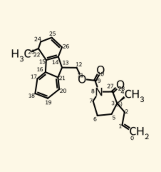 C=CC[C@]1(C)CCCN(C(=O)OCC2C3=C(c4ccccc42)C(C)CC=C3)C1=O